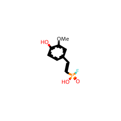 COc1cc(C=CP(=O)(O)F)ccc1O